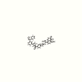 O=CC(c1ccccc1)c1cccc(C2=CCN(C(=O)c3ccc(CNCC(O)c4ccc(O)c5[nH]c(=O)ccc45)cc3)C2)c1